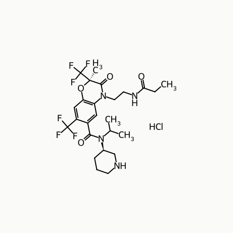 CCC(=O)NCCN1C(=O)[C@](C)(C(F)(F)F)Oc2cc(C(F)(F)F)c(C(=O)N(C(C)C)[C@@H]3CCCNC3)cc21.Cl